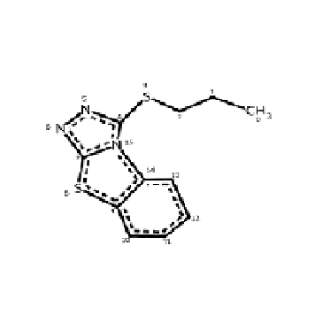 CCCSc1nnc2sc3ccccc3n12